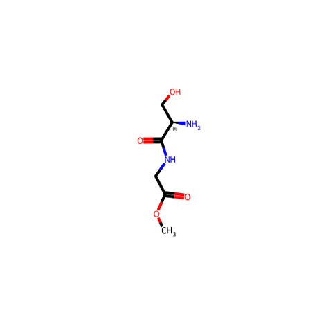 COC(=O)CNC(=O)[C@H](N)CO